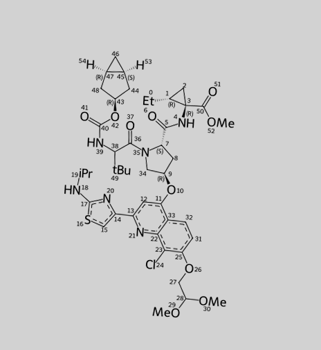 CC[C@@H]1C[C@]1(NC(=O)[C@@H]1C[C@@H](Oc2cc(-c3csc(NC(C)C)n3)nc3c(Cl)c(OCC(OC)OC)ccc23)CN1C(=O)C(NC(=O)O[C@@H]1C[C@@H]2C[C@@H]2C1)C(C)(C)C)C(=O)OC